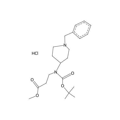 COC(=O)CCN(C(=O)OC(C)(C)C)C1CCN(Cc2ccccc2)CC1.Cl